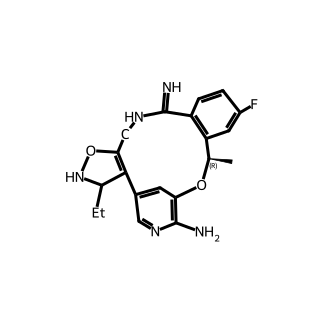 CCC1NOC2=C1c1cnc(N)c(c1)O[C@H](C)c1cc(F)ccc1C(=N)NC2